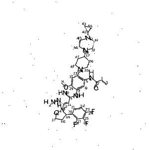 C=CC(=O)Nc1cc(NC(=N)/C=C(\NN)N2OCC[C@@H]2c2ccc(F)c(F)c2F)c(OC)cc1N1CCC(N2CCN(C3CC3)CC2)CC1